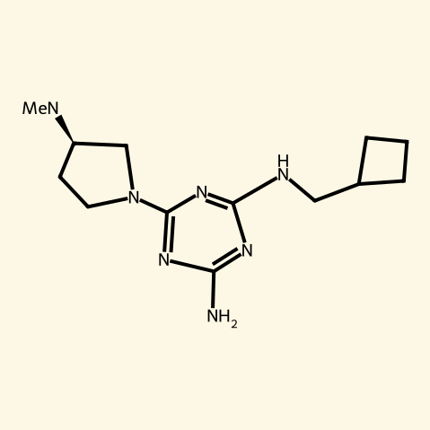 CN[C@@H]1CCN(c2nc(N)nc(NCC3CCC3)n2)C1